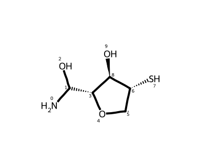 NC(O)[C@H]1O[CH][C@@H](S)[C@@H]1O